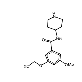 COc1cc(OCC#N)cc(C(=O)NC2CCNCC2)c1